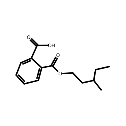 CCC(C)CCOC(=O)c1ccccc1C(=O)O